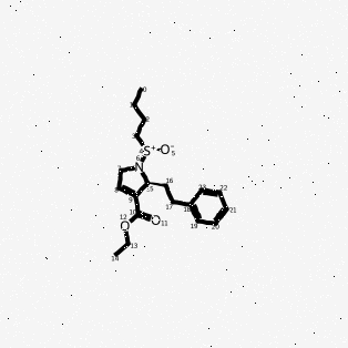 CCCC[S@+]([O-])N1CC=C(C(=O)OCC)[C@@H]1CCc1ccccc1